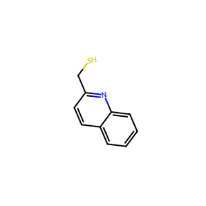 SCc1ccc2ccccc2n1